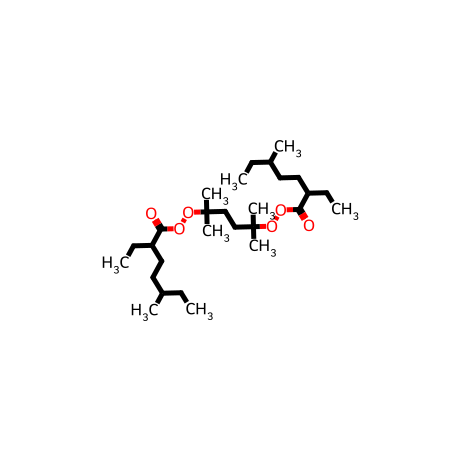 CCC(C)CCC(CC)C(=O)OOC(C)(C)CCC(C)(C)OOC(=O)C(CC)CCC(C)CC